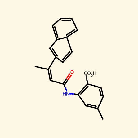 C/C(=C/C(=O)Nc1cc(C)ccc1C(=O)O)c1ccc2ccccc2c1